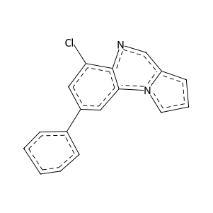 Clc1cc(-c2ccccc2)cc2c1ncc1cccn12